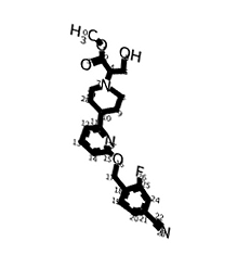 COC(=O)C(CO)N1CCC(c2cccc(OCc3ccc(C#N)cc3F)n2)CC1